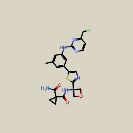 Cc1cc(Nc2nccc(CF)n2)cc(-c2cnc(C3(NC(=O)C4(C(N)=O)CC4)COC3)s2)c1